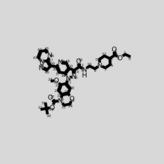 CCOC(=O)C1CCN(CCNC(=O)c2nn(-c3cc4c(cc3OC)N(C(=O)OC(C)(C)C)CCO4)c3cc(-c4cnn5cccnc45)ncc23)CC1